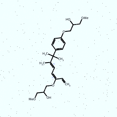 C=C/C(=C\C=C(/C)C(C)(C)c1ccc(OCC(O)COC)cc1)OCC(O)COC